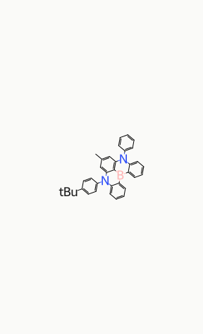 Cc1cc2c3c(c1)N(c1ccc(C(C)(C)C)cc1)c1ccccc1B3c1ccccc1N2c1ccccc1